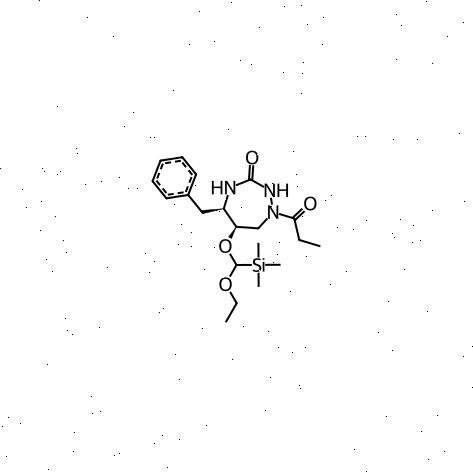 CCOC(O[C@@H]1CN(C(=O)CC)NC(=O)N[C@@H]1Cc1ccccc1)[Si](C)(C)C